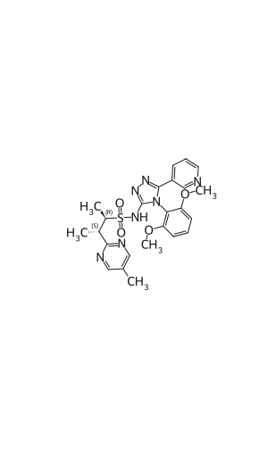 COc1cccc(OC)c1-n1c(NS(=O)(=O)[C@H](C)[C@@H](C)c2ncc(C)cn2)nnc1-c1cccnc1